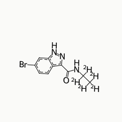 [2H]C([2H])([2H])C([2H])([2H])NC(=O)c1n[nH]c2cc(Br)ccc12